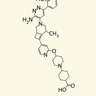 CC1CN(c2cc(-c3ccccc3O)nnc2N)CC2CC(c3ccnc(OC4CCN(C5CCC(C(=O)O)CC5)CC4)c3)=C12